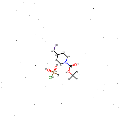 CC(C)(C)OC(=O)N1CCC(CI)CC1.CS(=O)(=O)Cl